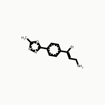 CC/C(=C\CN)c1ccc(-c2nnc(C)o2)cc1